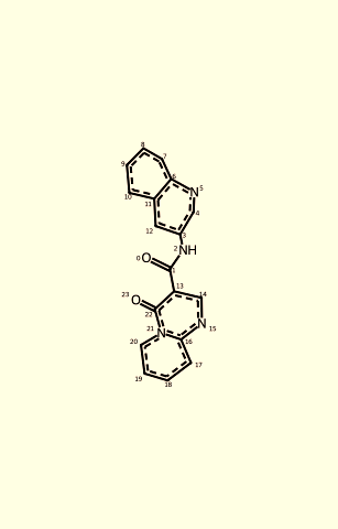 O=C(Nc1cnc2ccccc2c1)c1cnc2ccccn2c1=O